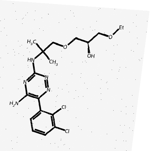 CCOC[C@@H](O)COCC(C)(C)Nc1nnc(-c2cccc(Cl)c2Cl)c(N)n1